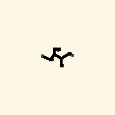 CCC(C)C(NF)C(=O)O